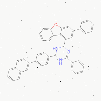 c1ccc(C2=NC(c3cc(-c4ccccc4)cc4oc5ccccc5c34)NC(c3ccc(-c4ccc5ccccc5c4)cc3)N2)cc1